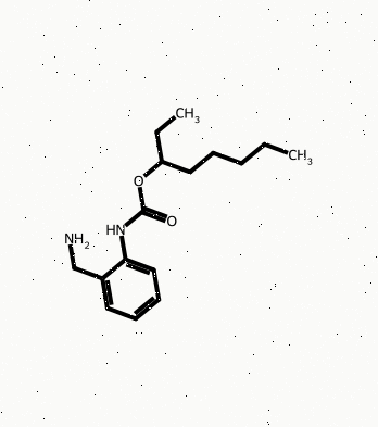 CCCCCC(CC)OC(=O)Nc1ccccc1CN